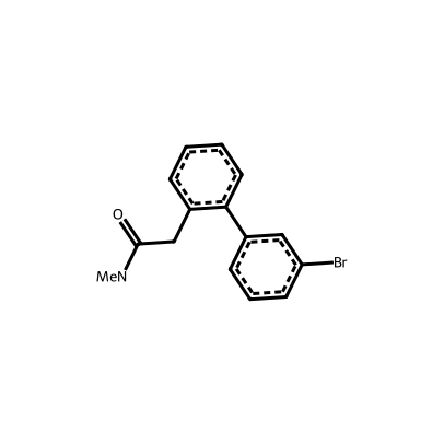 CNC(=O)Cc1ccccc1-c1cccc(Br)c1